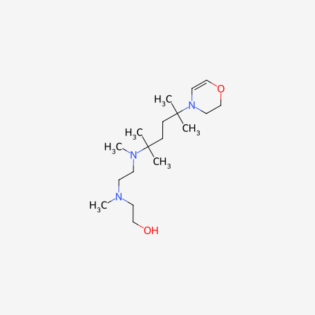 CN(CCO)CCN(C)C(C)(C)CCC(C)(C)N1C=COCC1